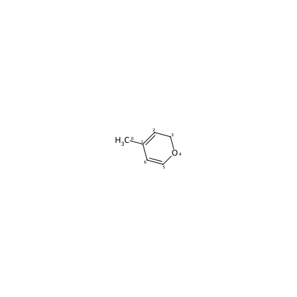 CC1=CCOC=C1